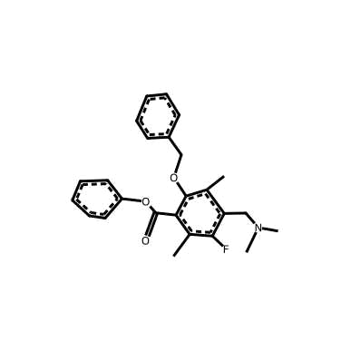 Cc1c(CN(C)C)c(F)c(C)c(C(=O)Oc2ccccc2)c1OCc1ccccc1